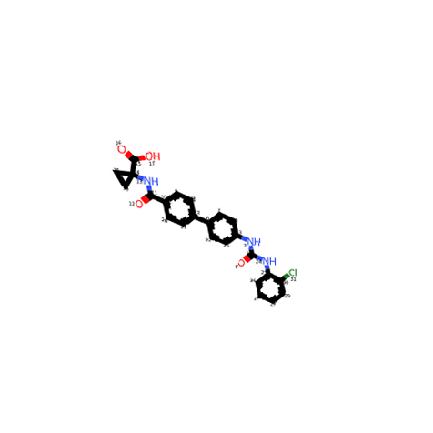 O=C(Nc1ccc(-c2ccc(C(=O)NC3(C(=O)O)CC3)cc2)cc1)Nc1ccccc1Cl